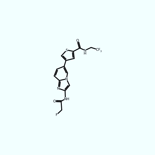 O=C(CF)Nc1cn2cc(-c3csc(C(=O)NCC(F)(F)F)c3)ccc2n1